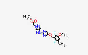 CCOC(=O)Cn1cc(Nc2ncc(OCc3c(F)c(C)cc(OC)c3F)cn2)cn1